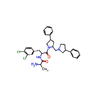 CC(N)C(=O)NC(Cc1ccc(Cl)c(Cl)c1)C(=O)N1CC(c2ccccc2)CC1CN1CCC(c2ccccc2)C1